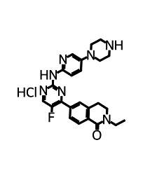 CCN1CCc2cc(-c3nc(Nc4ccc(N5CCNCC5)cn4)ncc3F)ccc2C1=O.Cl